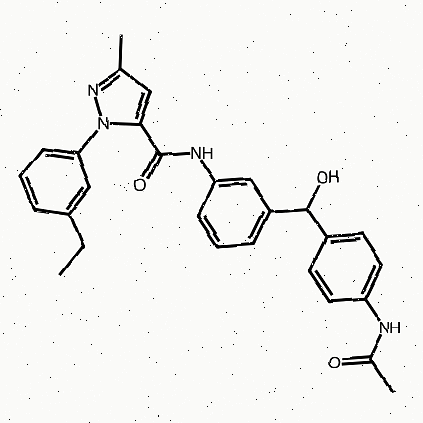 CCc1cccc(-n2nc(C)cc2C(=O)Nc2cccc(C(O)c3ccc(NC(C)=O)cc3)c2)c1